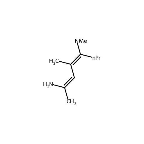 CCC/C(NC)=C(C)\C=C(\C)N